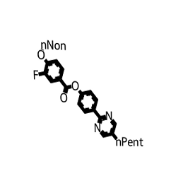 CCCCCCCCCOc1ccc(C(=O)Oc2ccc(-c3ncc(CCCCC)cn3)cc2)cc1F